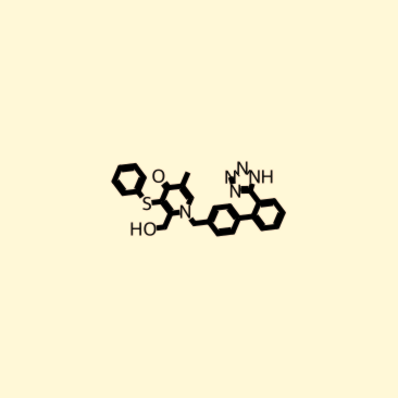 Cc1cn(Cc2ccc(-c3ccccc3-c3nnn[nH]3)cc2)c(CO)c(Sc2ccccc2)c1=O